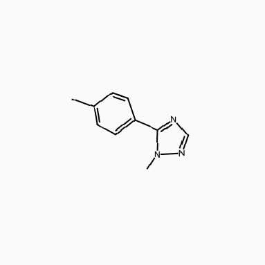 Cc1ccc(-c2ncnn2C)cc1